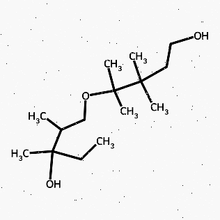 CCC(C)(O)C(C)COC(C)(C)C(C)(C)CCO